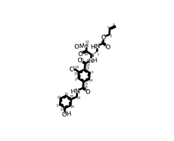 C=CCOC(=O)NC[C@H](NC(=O)c1ccc(C(=O)NCc2cccc(O)c2)cc1Cl)C(=O)OC